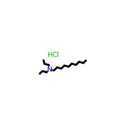 CCCCCCCCCCN(CCC)CCC.Cl